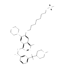 CCS(=O)(=O)OCCCCCCCOc1cc2c(C)nnc(N[C@H](C)c3cccc(C(F)(F)C4CCN(C(=O)O)CC4)c3)c2cc1N1CCOCC1